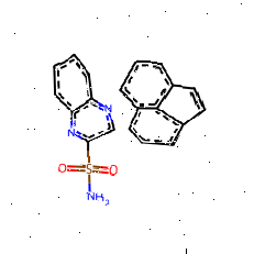 C1=Cc2cccc3cccc1c23.NS(=O)(=O)c1cnc2ccccc2n1